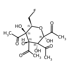 CC(=O)[C@@]1(O)[C@](O)(C(C)=O)[C@](O)(C(C)=O)[C@@H](CF)O[C@@]1(O)C(C)=O